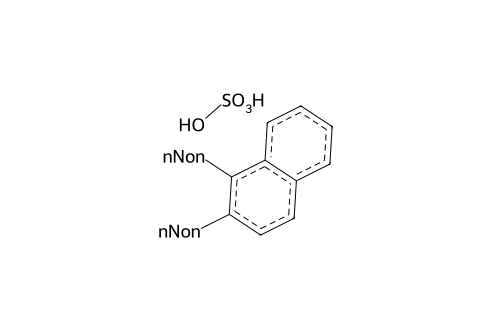 CCCCCCCCCc1ccc2ccccc2c1CCCCCCCCC.O=S(=O)(O)O